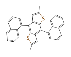 Cc1cc2c(-c3cccc4ccccc34)c3sc(C)cc3c(-c3cccc4ccccc34)c2s1